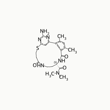 Cc1cc(C)c2cc1C(=O)N[C@H](C(=O)N(C)C)CCNC(=O)CCSc1cc-2nc(N)n1